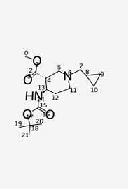 COC(=O)[C@@H]1CN(CC2CC2)CC[C@H]1NC(=O)OC(C)(C)C